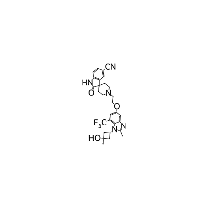 Cc1nc2cc(OCCN3CCC4(CC3)C(=O)Nc3ccc(C#N)cc34)cc(C(F)(F)F)c2n1[C@H]1C[C@@](C)(O)C1